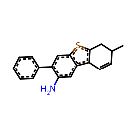 CC1C=Cc2c(sc3cc(-c4ccccc4)c(N)cc23)C1